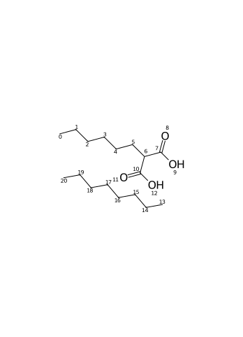 CCCCCCC(C(=O)O)C(=O)O.CCCCCCCC